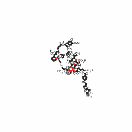 COc1ccc(C[C@H]2NC(=O)/C=C/C[C@@H]([C@H](C)[C@@H](OC(=O)OCCSSC[C@@H](NC(=O)[C@@H](NC(=O)[C@H](CC(=O)O)NC(=O)[C@@H](NC(=O)[C@H](CC(=O)O)NC(=O)[C@@H](NC(=O)CC[C@H](NC(=O)c3ccc(NCc4cnc5nc(N)[nH]c(=O)c5n4)cc3)C(=O)O)[C@@H](O)[C@H](O)[C@H](O)CO)[C@@H](O)[C@H](O)[C@H](O)CO)[C@@H](O)[C@H](O)[C@H](O)CO)C(=O)O)[C@@H](Cl)c3ccccc3)OC(=O)[C@H](CC(C)C)OC(=O)C(C)(C)CNC2=O)cc1Cl